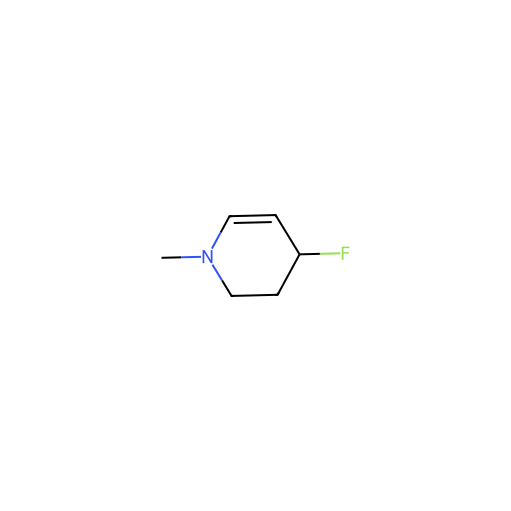 CN1C=CC(F)CC1